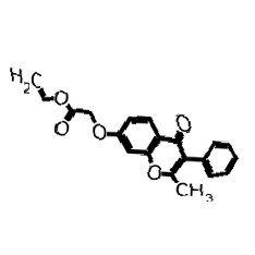 C=COC(=O)COc1ccc2c(=O)c(-c3ccccc3)c(C)oc2c1